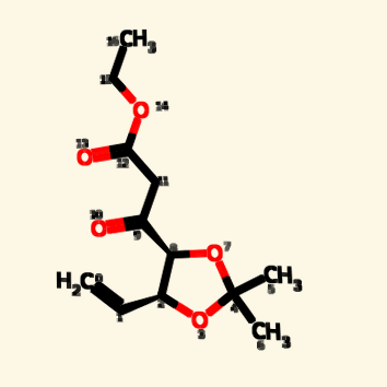 C=C[C@@H]1OC(C)(C)O[C@@H]1C(=O)CC(=O)OCC